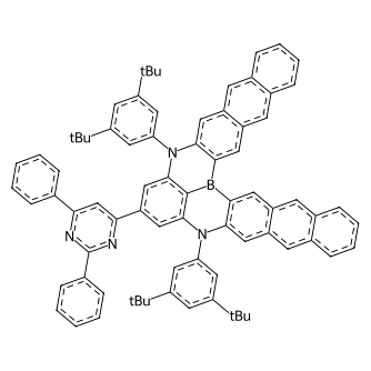 CC(C)(C)c1cc(N2c3cc4cc5ccccc5cc4cc3B3c4cc5cc6ccccc6cc5cc4N(c4cc(C(C)(C)C)cc(C(C)(C)C)c4)c4cc(-c5cc(-c6ccccc6)nc(-c6ccccc6)n5)cc2c43)cc(C(C)(C)C)c1